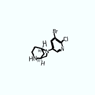 Clc1ncc(N2C[C@@H]3C[C@H]2CCN3)cc1Br